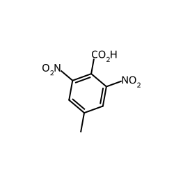 Cc1cc([N+](=O)[O-])c(C(=O)O)c([N+](=O)[O-])c1